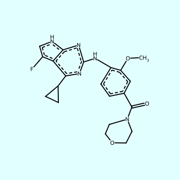 COc1cc(C(=O)N2CCOCC2)ccc1Nc1nc(C2CC2)c2c(F)c[nH]c2n1